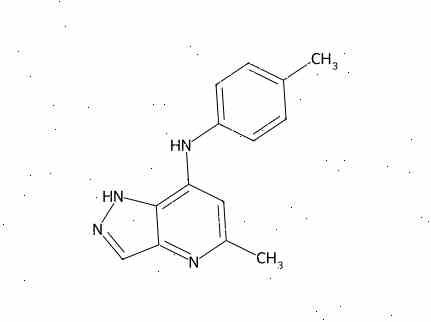 Cc1ccc(Nc2cc(C)nc3cn[nH]c23)cc1